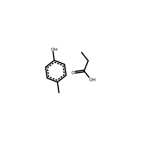 CCC(=O)O.Cc1ccc(O)cc1